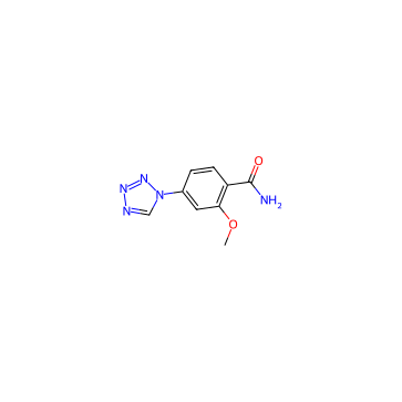 COc1cc(-n2cnnn2)ccc1C(N)=O